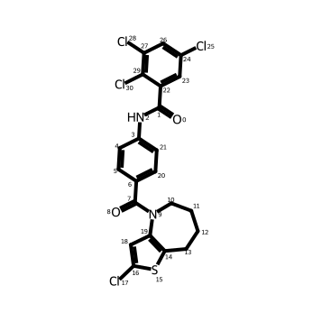 O=C(Nc1ccc(C(=O)N2CCCCc3sc(Cl)cc32)cc1)c1cc(Cl)cc(Cl)c1Cl